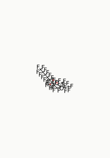 FC(F)(F)C(F)(F)O[Si](OC(F)(F)C(F)(F)F)(C(F)(F)F)C(F)(F)C(F)(F)C(F)(F)C(F)(F)C(F)(F)C(F)(F)C(F)(F)C(F)(F)F